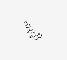 O=C(N/N=C/c1c(O)ccc2cccnc12)c1ccc(Cl)cc1